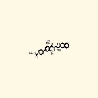 CCOc1nc(N2CCN(C(=O)OC)CC2)ccc1C(=O)NC[C@@H](O)[C@@H]1Cc2ccccc2CN1.Cl.Cl